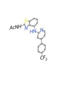 CC(=O)Nc1nc2c(Nc3cc(-c4ccc(C(F)(F)F)cc4)ccn3)cccc2s1